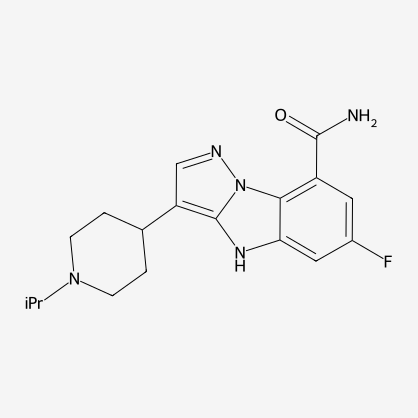 CC(C)N1CCC(c2cnn3c2[nH]c2cc(F)cc(C(N)=O)c23)CC1